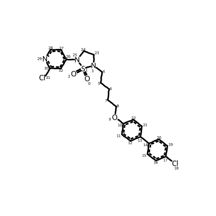 O=S1(=O)N(CCCCCOc2ccc(-c3ccc(Cl)cc3)cc2)CCN1c1ccnc(Cl)c1